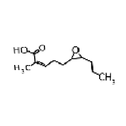 CCCC1OC1CCC=C(C)C(=O)O